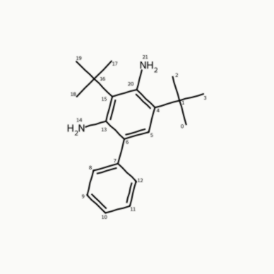 CC(C)(C)c1cc(-c2ccccc2)c(N)c(C(C)(C)C)c1N